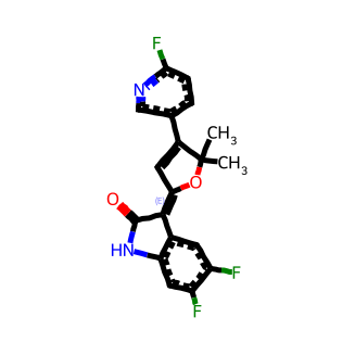 CC1(C)O/C(=C2/C(=O)Nc3cc(F)c(F)cc32)C=C1c1ccc(F)nc1